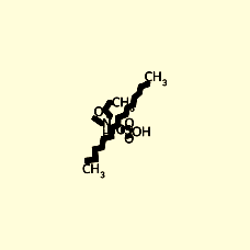 CCC1CNCCO1.CCCCCCCCCCCCCCCCCC.O=S(=O)(O)O